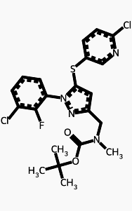 CN(Cc1cc(Sc2ccc(Cl)nc2)n(-c2cccc(Cl)c2F)n1)C(=O)OC(C)(C)C